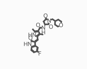 Cc1[nH]c(/C=C2\C(=O)Nc3ccc(F)cc32)c(C)c1C(=O)N[C@H]1CC(=O)N(CC2CCOCC2)C1=O